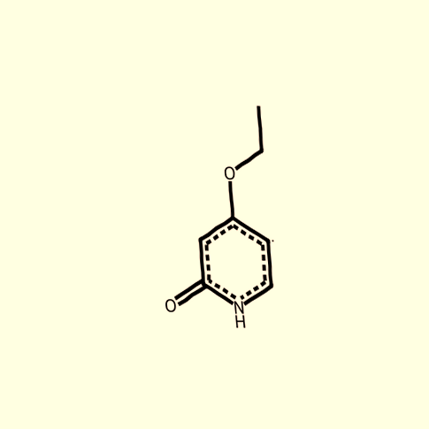 CCOc1[c]c[nH]c(=O)c1